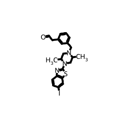 CC1CN(c2nc3ccc(I)cc3s2)C(C)CN1Cc1cccc(CC=O)c1